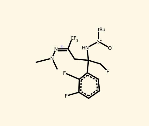 CN(C)/N=C(\CC(CF)(N[S+]([O-])C(C)(C)C)c1cccc(F)c1F)C(F)(F)F